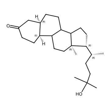 C[C@H](CCC(C)(C)O)[C@H]1CCC2C3CC[C@@H]4CC(=O)CC[C@@H]4C3CC[C@@]21C